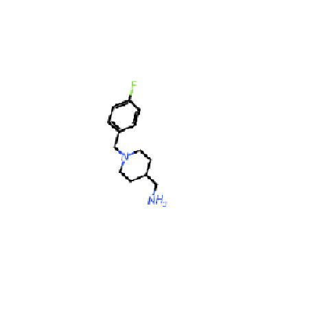 NCC1CCN(Cc2ccc(F)cc2)CC1